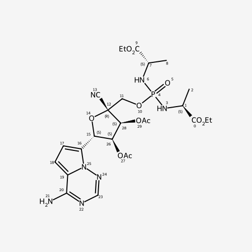 CCOC(=O)[C@H](C)NP(=O)(N[C@@H](C)C(=O)OCC)OC[C@@]1(C#N)O[C@@H](c2ccc3c(N)ncnn23)[C@H](OC(C)=O)[C@@H]1OC(C)=O